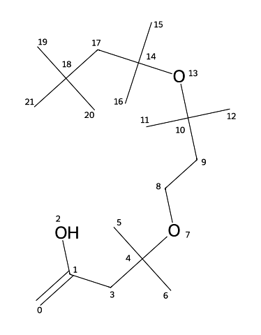 C=C(O)CC(C)(C)OCCC(C)(C)OC(C)(C)CC(C)(C)C